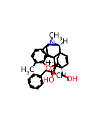 Cc1ccc2c3c1O[C@H]1[C@@]4(CO)C=C[C@@]5(C[C@@H]4[C@](C)(O)Cc4ccccc4)[C@@H](C2)N(C)CC[C@]315